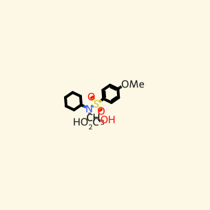 COc1ccc(S(=O)(=O)N(C)C2CCCCC2)cc1.O=C(O)O